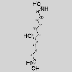 Cl.ONCCCCCCCCCCCCNO